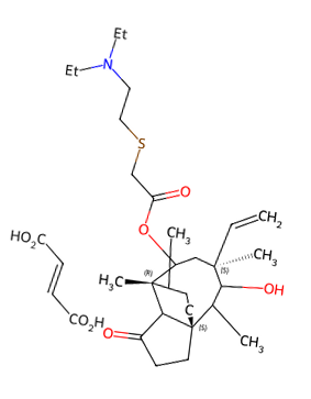 C=C[C@]1(C)CC(OC(=O)CSCCN(CC)CC)[C@]2(C)C(C)CC[C@]3(CCC(=O)C32)C(C)C1O.O=C(O)C=CC(=O)O